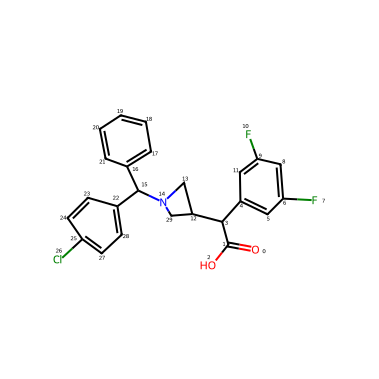 O=C(O)C(c1cc(F)cc(F)c1)C1CN(C(c2ccccc2)c2ccc(Cl)cc2)C1